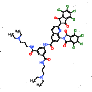 CCN(CC)CCCNC(=O)c1cc(NC(=O)c2cc(N3C(=O)c4c(Cl)c(Cl)c(Cl)c(Cl)c4C3=O)c3nc(C4C(=O)c5c(Cl)c(Cl)c(Cl)c(Cl)c5C4=O)ccc3c2)cc(C(=O)NCCCN(CC)CC)c1